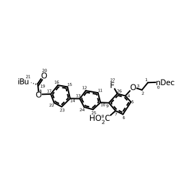 CCCCCCCCCCCCOc1ccc(C(=O)O)c(-c2ccc(-c3ccc(OC(=O)[C@@H](C)CC)cc3)cc2)c1F